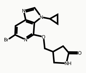 O=C1CC(COc2nc(Br)cc3ncn(C4CC4)c23)CN1